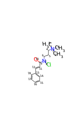 C[N+](C)(C)CCCN(Cl)C(=O)C=Cc1ccccc1